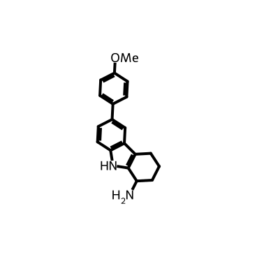 COc1ccc(-c2ccc3[nH]c4c(c3c2)CCCC4N)cc1